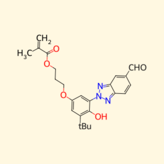 C=C(C)C(=O)OCCCOc1cc(-n2nc3ccc(C=O)cc3n2)c(O)c(C(C)(C)C)c1